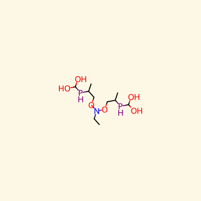 CCN(OCC(C)PC(O)O)OCC(C)PC(O)O